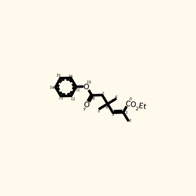 CCOC(=O)/C(C)=C\C(C)(C)CC(=O)Oc1ccccc1